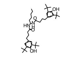 CCCCCC(NC(=O)CCCc1cc(C(C)(C)C)c(O)c(C(C)(C)C)c1)NC(=O)CCCc1cc(C(C)(C)C)c(O)c(C(C)(C)C)c1